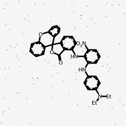 CCN(CC)c1ccc(Nc2cccc([N+](=O)[O-])c2Nc2cccc3c2C(=O)OC32c3ccccc3Oc3ccccc32)cc1